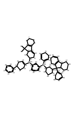 CC1(C)C2=C(CCCC2)C2=CCC(N(C3=CCC(c4ccccc4)CC3)c3cccc(N(C4=CCCC=C4)C4CCCC(C5(C6=CC=CCC6)C6=C(C=CCC6)C6CCCCC65)C4)c3)CC21